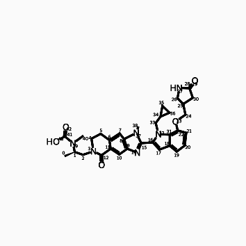 C[C@H](CN1CCc2cc3c(cc2C1=O)nc(-c1cc2cccc(OCC4CNC(=O)C4)c2n1CC1CC1)n3C)N(C)C(=O)O